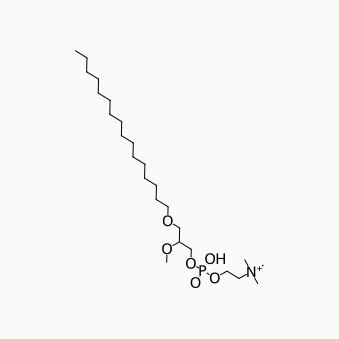 CCCCCCCCCCCCCCCCOCC(COP(=O)(O)OCC[N+](C)(C)C)OC